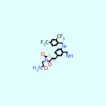 CN(Cc1ccc(C(F)(F)F)cc1C(F)(F)F)c1ccc(/C=C2\SC(=O)N(CC(N)=O)C2=O)cc1C=N